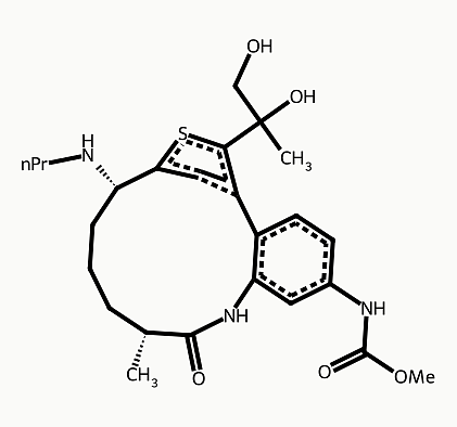 CCCN[C@H]1CCC[C@@H](C)C(=O)Nc2cc(NC(=O)OC)ccc2-c2cc1sc2C(C)(O)CO